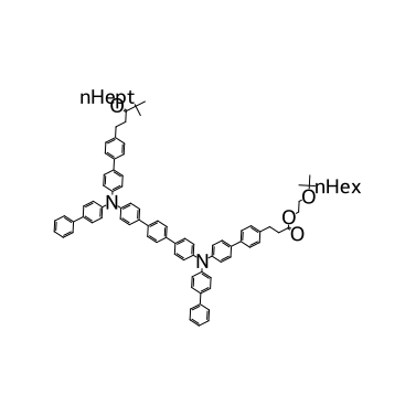 CCCCCCCC(C)(C)C(=O)CCc1ccc(-c2ccc(N(c3ccc(-c4ccccc4)cc3)c3ccc(-c4ccc(-c5ccc(N(c6ccc(-c7ccccc7)cc6)c6ccc(-c7ccc(CCC(=O)OCCOC(C)(C)CCCCCC)cc7)cc6)cc5)cc4)cc3)cc2)cc1